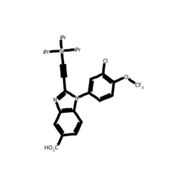 CC(C)[Si](C#Cc1nc2cc(C(=O)O)ccc2n1-c1ccc(OC(F)(F)F)c(Cl)c1)(C(C)C)C(C)C